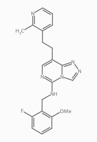 COc1cccc(F)c1CNc1ncc(CCc2cccnc2C)c2nncn12